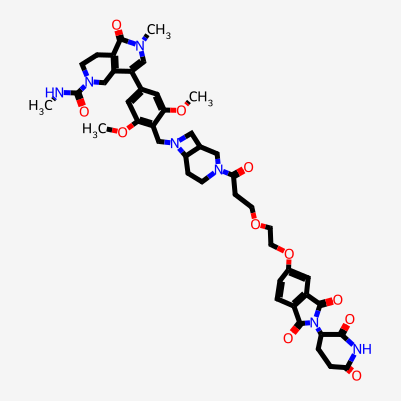 CNC(=O)N1CCc2c(c(-c3cc(OC)c(CN4CC5CN(C(=O)CCOCCOc6ccc7c(c6)C(=O)N(C6CCC(=O)NC6=O)C7=O)CCC54)c(OC)c3)cn(C)c2=O)C1